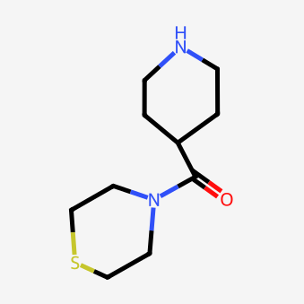 O=C(C1CCNCC1)N1CCSCC1